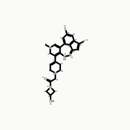 CN1C=C2C(=C(C3=CCN(CC(=O)N4CC(O)C4)CC3)C1)NN=C1C=C(F)c3cc(F)cc2c31